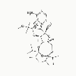 COC(C)(C)C(=O)O[C@@H]1[C@@H]2O[Si](C(C)C)(C(C)C)O[Si](C(C)C)(C(C)C)OC[C@H]2O[C@@]1(C#N)c1ccc2c(N)ncnn12